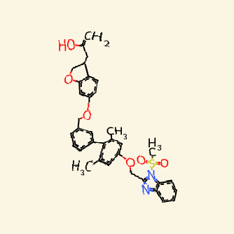 C=C(O)CC1COc2cc(OCc3cccc(-c4c(C)cc(OCc5nc6ccccc6n5S(C)(=O)=O)cc4C)c3)ccc21